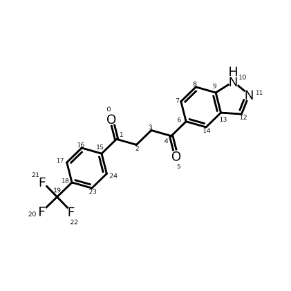 O=C(CCC(=O)c1ccc2[nH]ncc2c1)c1ccc(C(F)(F)F)cc1